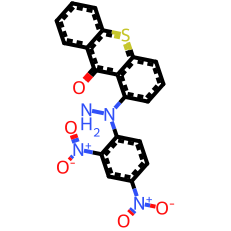 NN(c1ccc([N+](=O)[O-])cc1[N+](=O)[O-])c1cccc2sc3ccccc3c(=O)c12